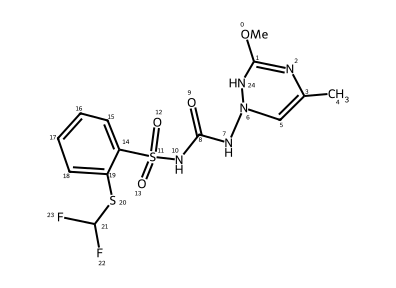 COC1=NC(C)=CN(NC(=O)NS(=O)(=O)c2ccccc2SC(F)F)N1